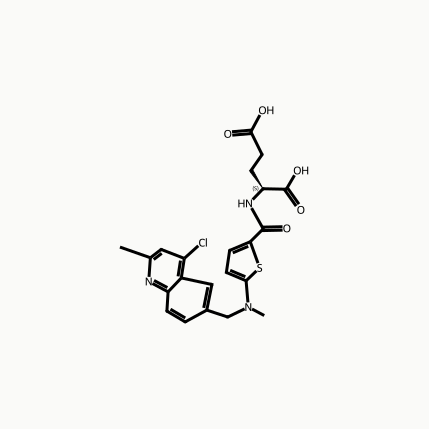 Cc1cc(Cl)c2cc(CN(C)c3ccc(C(=O)N[C@@H](CCC(=O)O)C(=O)O)s3)ccc2n1